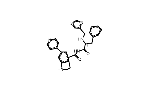 O=C(NC(=O)[C@H](Cc1ccccc1)NCc1cscn1)c1cc(-c2ccncc2)cc2c1CCN2